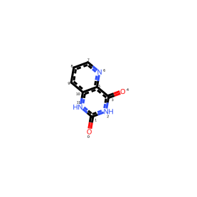 O=c1[nH]c(=O)c2ncccc2[nH]1